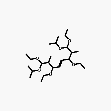 CCOC(C=CC(OCC)C(C)C(OCC)OC(C)C)C(C)C(OCC)OC(C)C